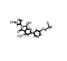 CCn1cc(N2C(=O)c3c(C)cc(-c4cncc(OCC(F)F)c4)nc3C2O)cn1